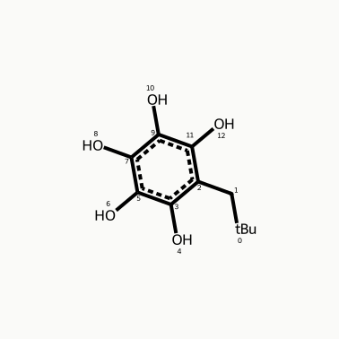 CC(C)(C)Cc1c(O)c(O)c(O)c(O)c1O